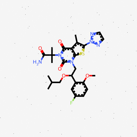 COc1ccc(F)cc1C(Cn1c(=O)n(C(C)(C)C(N)=O)c(=O)c2c(C)c(-n3nccn3)sc21)OCC(C)C